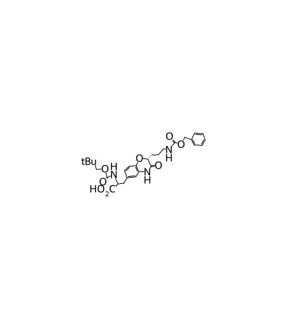 CC(C)(C)COC(=O)N[C@@H](Cc1ccc2c(c1)NC(=O)[C@@H](CCCNC(=O)OCc1ccccc1)O2)C(=O)O